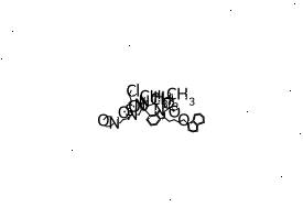 CCOC(=O)c1[nH]c2c(-c3c(CN(CCCN4CCOCC4)S(=O)(=O)CCCCl)nn(C)c3CC)cccc2c1CCCOc1cccc2ccccc12